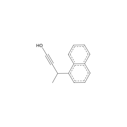 CC(C#CO)c1cccc2ccccc12